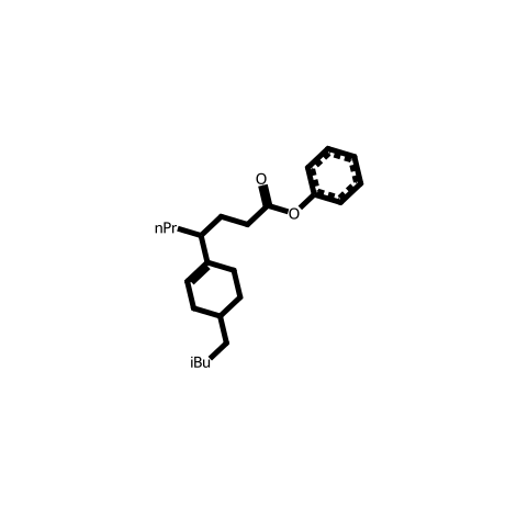 CCCC(CCC(=O)Oc1ccccc1)C1=CCC(CC(C)CC)CC1